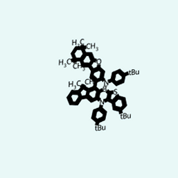 CC(C)(C)c1ccc(N2B3c4sc5ccc(C(C)(C)C)cc5c4N(c4ccc(C(C)(C)C)cc4)c4cc5c(c(c43)-c3cc4c(cc32)oc2cc3c(cc24)C(C)(C)CCC3(C)C)C(C)(C)c2ccccc2-5)cc1